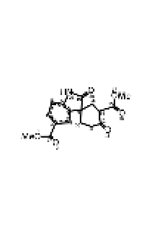 COC(=O)c1ccc2c(c1)C1(CCC(=O)C(C(=O)OC)C1)C(=O)N2